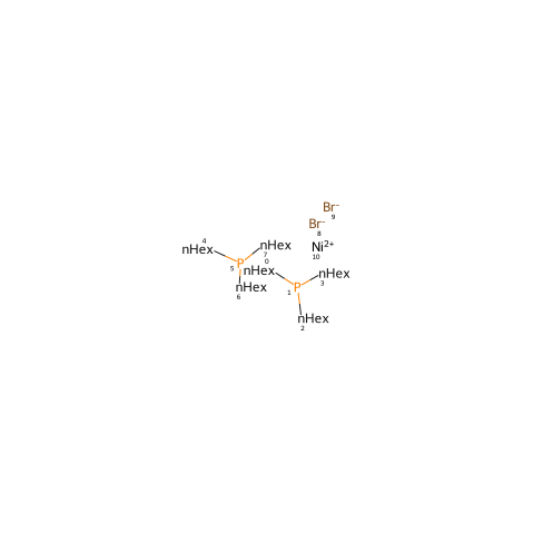 CCCCCCP(CCCCCC)CCCCCC.CCCCCCP(CCCCCC)CCCCCC.[Br-].[Br-].[Ni+2]